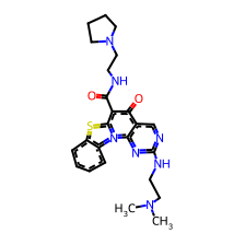 CN(C)CCNc1ncc2c(=O)c(C(=O)NCCN3CCCC3)c3sc4ccccc4n3c2n1